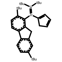 CC(C)(C)c1ccc2c(c1)Cc1c-2ccc(C(C)(C)C)[c]1[Zr]([C]1=CC=CC1)=[Si](C(C)(C)C)C(C)(C)C